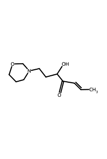 CC=CC(=O)C(O)CCN1CCCOC1